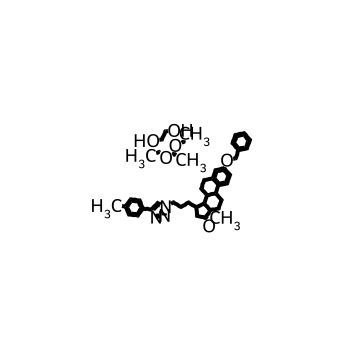 CCOC(C)OCC.Cc1ccc(-c2cn(CCCC3CC(=O)C4(C)CCC5c6ccc(OCc7ccccc7)cc6CCC5C34)nn2)cc1.OCCO